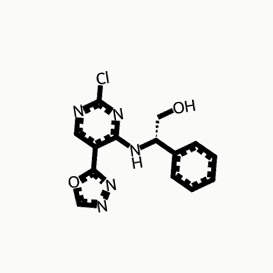 OC[C@@H](Nc1nc(Cl)ncc1-c1nnco1)c1ccccc1